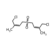 CC(=CCS(=O)(=O)CC=C(C)CCl)CCl